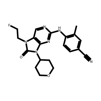 Cc1cc(C#N)ccc1Nc1ncc2c(n1)n(C1CCOCC1)c(=O)n2CCF